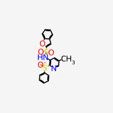 Cc1cnc([S+]([O-])c2ccccc2)c(NS(=O)(=O)c2cc3ccccc3o2)c1